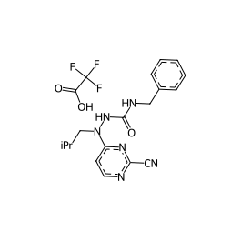 CC(C)CN(NC(=O)NCc1ccccc1)c1ccnc(C#N)n1.O=C(O)C(F)(F)F